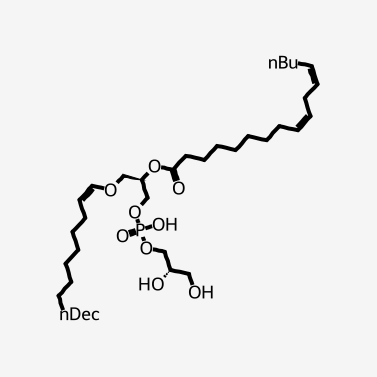 CCCC/C=C\C/C=C\CCCCCCCC(=O)O[C@H](CO/C=C\CCCCCCCCCCCCCCCC)COP(=O)(O)OC[C@@H](O)CO